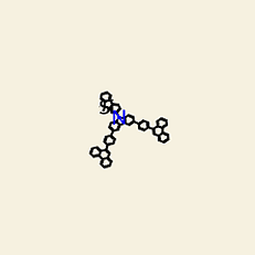 C[Si]1(C)c2ccccc2-c2ccc(-n3c4ccc(-c5ccc(-c6cc7ccccc7c7ccccc67)cc5)cc4c4cc(-c5ccc(-c6cc7ccccc7c7ccccc67)cc5)ccc43)cc21